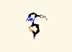 Cc1ccnn1-c1ccc(I)s1